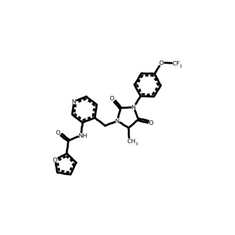 CC1C(=O)N(c2ccc(OC(F)(F)F)cc2)C(=O)N1Cc1ccncc1NC(=O)c1ccco1